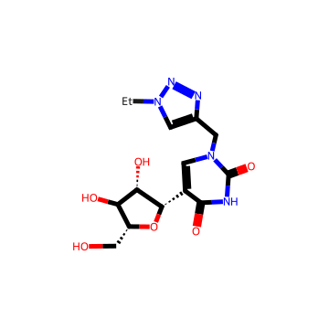 CCn1cc(Cn2cc([C@@H]3O[C@H](CO)C(O)[C@@H]3O)c(=O)[nH]c2=O)nn1